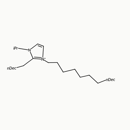 CCCCCCCCCCCCCCCCC[n+]1ccn(C(C)C)c1CCCCCCCCCCC